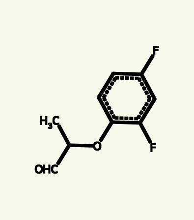 CC(C=O)Oc1ccc(F)cc1F